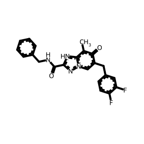 Cc1c(=O)c(Cc2ccc(F)c(F)c2)cn2nc(C(=O)NCc3ccccc3)[nH]c12